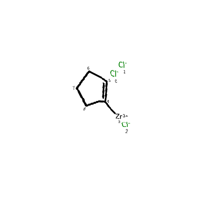 [Cl-].[Cl-].[Cl-].[Zr+3][C]1=CCCC1